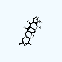 CC1CN(Cc2c(Cl)ccc(C(=O)c3cnn(C)c3O)c2Cl)CC(C)O1